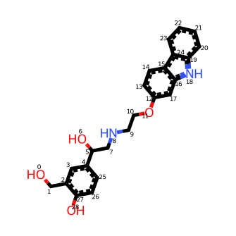 OCc1cc(C(O)CNCCOc2ccc3c(c2)[nH]c2ccccc23)ccc1O